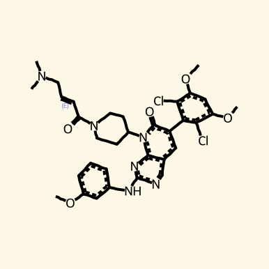 COc1cccc(Nc2ncc3cc(-c4c(Cl)c(OC)cc(OC)c4Cl)c(=O)n(C4CCN(C(=O)/C=C/CN(C)C)CC4)c3n2)c1